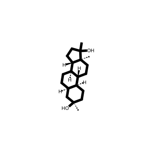 CC1(O)CC[C@H]2[C@@H]3CC[C@@H]4C[C@](C)(O)CC[C@@H]4[C@H]3CC[C@@]21C